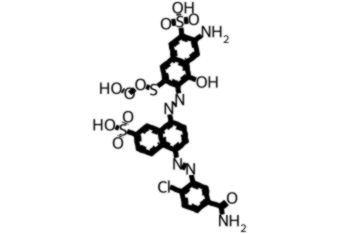 NC(=O)c1ccc(Cl)c(N=Nc2ccc(N=Nc3c(SOOO)cc4cc(S(=O)(=O)O)c(N)cc4c3O)c3cc(S(=O)(=O)O)ccc23)c1